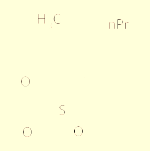 CCCC(C)C1COS1(=O)=O